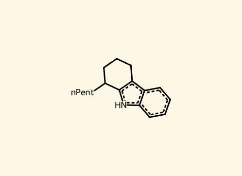 CCCCCC1CCCc2c1[nH]c1ccccc21